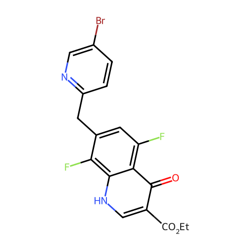 CCOC(=O)c1c[nH]c2c(F)c(Cc3ccc(Br)cn3)cc(F)c2c1=O